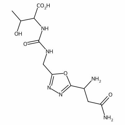 CC(O)C(NC(=O)NCc1nnc(C(N)CC(N)=O)o1)C(=O)O